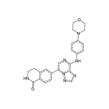 O=C1NCCc2cc(-c3cnc(Nc4ccc(N5CCOCC5)cc4)c4ncnn34)ccc21